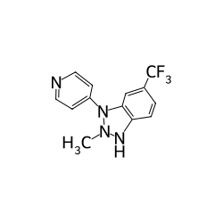 CN1Nc2ccc(C(F)(F)F)cc2N1c1ccncc1